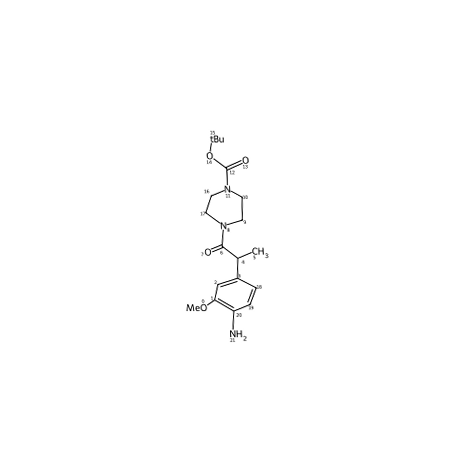 COc1cc(C(C)C(=O)N2CCN(C(=O)OC(C)(C)C)CC2)ccc1N